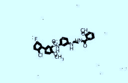 COc1ccccc1C(=O)NCCNc1cccc(N[S+]([O-])c2cc(-c3cc(F)ccc3Cl)ccc2OC)c1